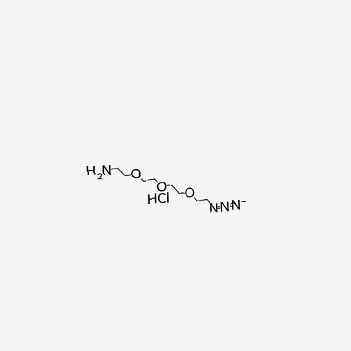 Cl.[N-]=[N+]=NCCOCCOCCOCCN